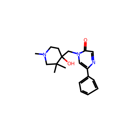 CN1CCC(O)(Cn2cc(-c3ccccc3)ncc2=O)C(C)(C)C1